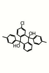 Cc1ccc(C2(O)c3ccccc3C(O)(c3ccc(C)cc3)c3cc(Cl)ccc32)cc1